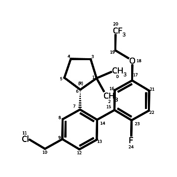 CC1(C)CCC[C@H]1c1cc(CCl)ccc1-c1cc(OCC(F)(F)F)ccc1F